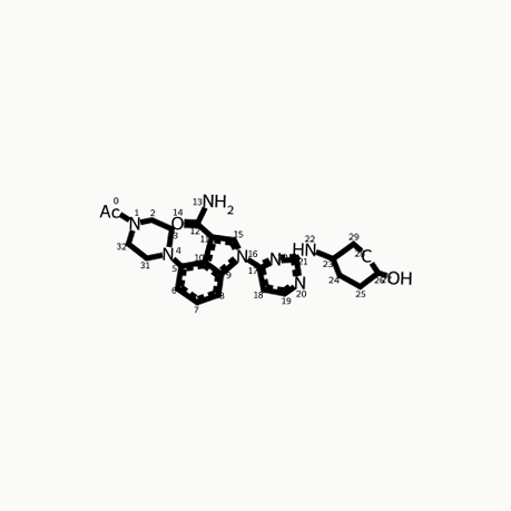 CC(=O)N1CCN(c2cccc3c2c(C(N)=O)cn3-c2ccnc(NC3CCC(O)CC3)n2)CC1